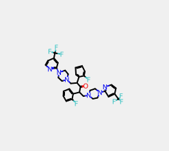 O=C(C(CN1CCN(c2cc(C(F)(F)F)ccn2)CC1)c1ccccc1F)C(CN1CCN(c2cc(C(F)(F)F)ccn2)CC1)c1ccccc1F